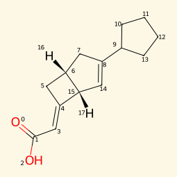 O=C(O)C=C1C[C@@H]2CC(C3CCCC3)=C[C@H]12